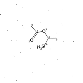 CC(=O)OC(C)[SiH3]